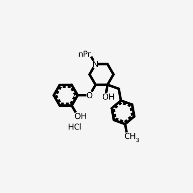 CCCN1CCC(O)(Cc2ccc(C)cc2)C(Oc2ccccc2O)C1.Cl